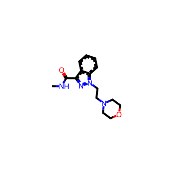 CNC(=O)c1nn(CCN2CCOCC2)c2ccccc12